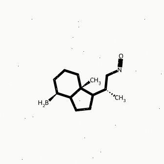 B[C@H]1CCC[C@@]2(C)C1CCC2[C@@H](C)CN=O